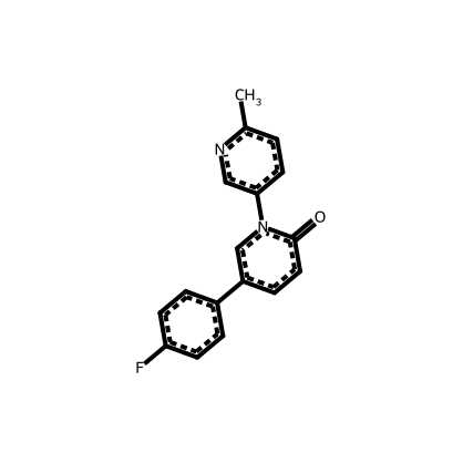 Cc1ccc(-n2cc(-c3ccc(F)cc3)ccc2=O)cn1